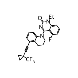 CCn1c(=O)nc(N2CCCc3c(C#CC4(C(F)(F)F)CC4)cccc32)c2c(F)cccc21